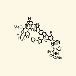 COC(=O)NC(C(=O)N1[C@@H]2C[C@@H]2C[C@H]1c1ncc(-c2ccc3c(c2)cc2n3C(c3cnc(C4CCCC4)s3)Oc3cc(-c4cnc([C@@H]5CCCN5C(=O)[C@@H](NC(=O)OC)C(C)C)[nH]4)cc(F)c3-2)[nH]1)C1CCOC(C)(C)C1